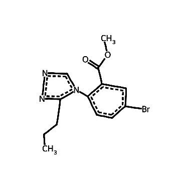 CCCc1nncn1-c1ccc(Br)cc1C(=O)OC